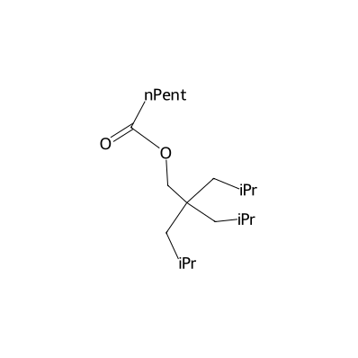 CCCCCC(=O)OCC(CC(C)C)(CC(C)C)CC(C)C